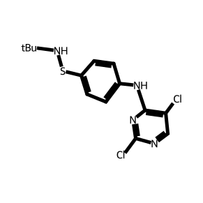 CC(C)(C)NSc1ccc(Nc2nc(Cl)ncc2Cl)cc1